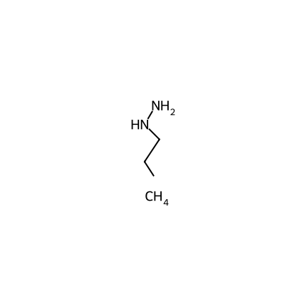 C.CCCNN